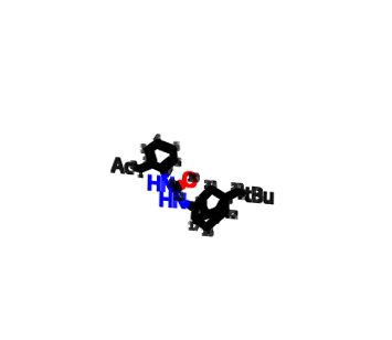 CC(=O)Cc1ccccc1NC(=O)NC1C2CC3CC1CC(CC(C)(C)C)(C3)C2